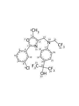 Cc1oc(-c2cccc(Cl)c2)nc1CN(CC(F)(F)F)c1ccc(C(O)(C(F)(F)F)C(F)(F)F)cc1